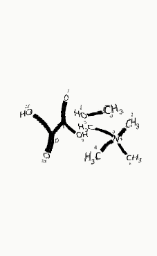 CO.C[N+](C)(C)C.O=C(O)C(=O)O